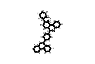 c1ccc2c(c1)cc(-c1ccc(-c3nc4ccccc4c4c3ccc3c5ccccc5oc34)cc1)c1ccccc12